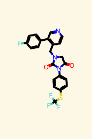 O=C1CN(Cc2ccncc2-c2ccc(F)cc2)C(=O)N1c1ccc(SC(F)(F)F)cc1